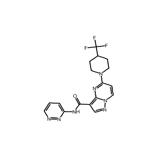 O=C(Nc1cccnn1)c1cnn2ccc(N3CCC(C(F)(F)F)CC3)nc12